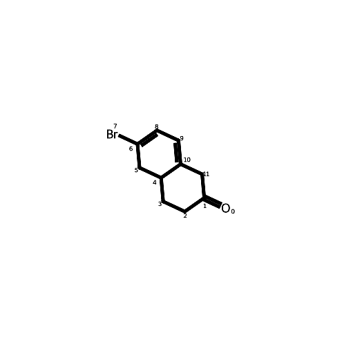 O=C1CCC2CC(Br)=CC=C2C1